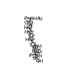 CC(=O)N[C@@H](C(=O)N1CCCC1c1ncc(-c2cc3cc4cc(-c5ccc6nc(C7CCCN7C(=O)[C@@H](NC(=O)CO)C(C)C)[nH]c6c5)[nH]c4cc3[nH]2)[nH]1)C(C)C